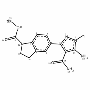 Cn1nc(-c2ccc3c(c2)CCN3C(=O)OC(C)(C)C)c(C(N)=O)c1N